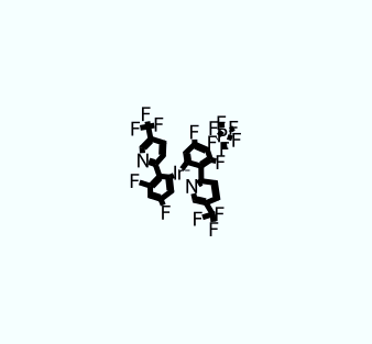 F[P-](F)(F)(F)(F)F.Fc1cc(F)c(-c2ccc(C(F)(F)F)cn2)[c]([Ir-][c]2cc(F)cc(F)c2-c2ccc(C(F)(F)F)cn2)c1